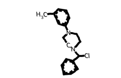 Cc1cccc(N2CCN(C(Cl)c3ccccc3)CC2)c1